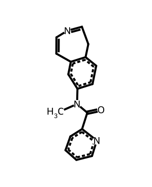 CN(C(=O)c1ccccn1)c1ccc2c(c1)C=CN=CC2